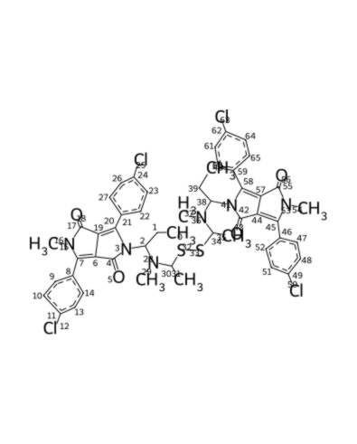 CCC(N1C(=O)C2=C(c3ccc(Cl)cc3)N(C)C(=O)C2=C1c1ccc(Cl)cc1)N(C)C(C)SSC(C)N(C)C(CC)N1C(=O)C2=C(c3ccc(Cl)cc3)N(C)C(=O)C2=C1c1ccc(Cl)cc1